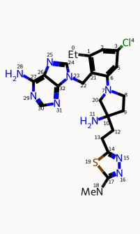 CCc1cc(Cl)cc(N2CCC(N)(CCc3nnc(NC)s3)C2)c1Cn1cnc2c(N)ncnc21